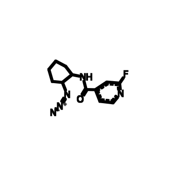 [N-]=[N+]=NC1CCCCC1NC(=O)c1ccnc(F)c1